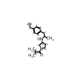 CC(Cc1ccc(CBr)cc1)N[C@@H]1CCN(C(=O)C(C)C)C1